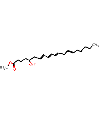 CCCCCC=CCC=CC=CC=CCC(O)CCCC(=O)OC